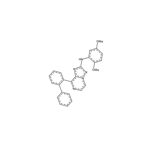 COc1ccc(OC)c(Nc2nc3c(-c4ccccc4-c4ccccc4)nccn3n2)c1